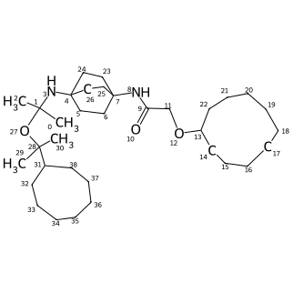 CC(C)(NC12CCC(NC(=O)COC3CCCCCCCCC3)(CC1)CC2)OC(C)(C)C1CCCCCCC1